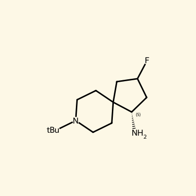 CC(C)(C)N1CCC2(CC1)CC(F)C[C@@H]2N